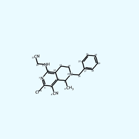 CC1c2c(C#N)c(Cl)nc(NCC#N)c2CCN1Cc1ccccc1